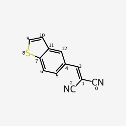 N#CC(C#N)=Cc1ccc2sccc2c1